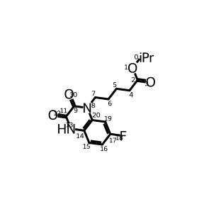 CC(C)OC(=O)CCCCn1c(=O)c(=O)[nH]c2ccc(F)cc21